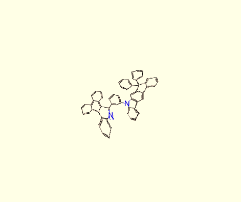 c1ccc(C2(c3ccccc3)c3ccccc3-c3cc4c5ccccc5n(-c5cccc(-c6nc7ccccc7c7c8ccccc8c8ccccc8c67)c5)c4cc32)cc1